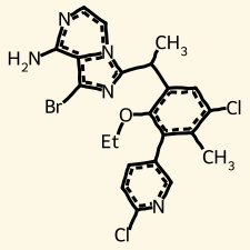 CCOc1c(C(C)c2nc(Br)c3c(N)nccn23)cc(Cl)c(C)c1-c1ccc(Cl)nc1